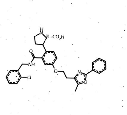 Cc1oc(-c2ccccc2)nc1CCOc1ccc(C2CCN[C@@H]2C(=O)O)c(C(=O)NCc2ccccc2Cl)c1